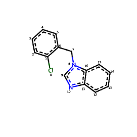 Clc1ccccc1Cn1[c]nc2ccccc21